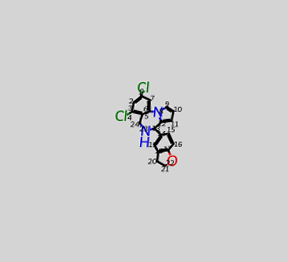 Clc1cc(Cl)c2c(c1)-n1cccc1C(c1ccc3c(c1)CCO3)NC2